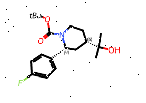 CC(C)(C)OC(=O)N1CC[C@H](C(C)(C)O)C[C@@H]1c1ccc(F)cc1